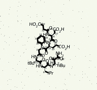 CCCC[C@H](NC(=O)[C@H](CC(C)C)NC(=O)[C@@H](NC(=O)CN(C(=O)[C@H](CCC(=O)O)NC(=O)[C@H](CC(=O)O)NC(=O)CCC(=O)O)c1ccccc1)C(C)(C)C)C(=O)C(N)=O